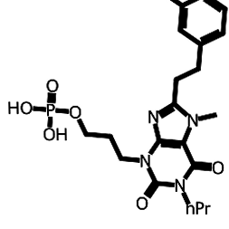 CCCn1c(=O)c2c(nc(CCc3cccc(OC)c3)n2C)n(CCCOP(=O)(O)O)c1=O